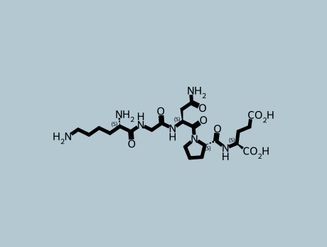 NCCCC[C@H](N)C(=O)NCC(=O)N[C@@H](CC(N)=O)C(=O)N1CCC[C@H]1C(=O)N[C@@H](CCC(=O)O)C(=O)O